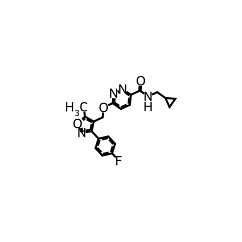 Cc1onc(-c2ccc(F)cc2)c1COc1ccc(C(=O)NCC2CC2)nn1